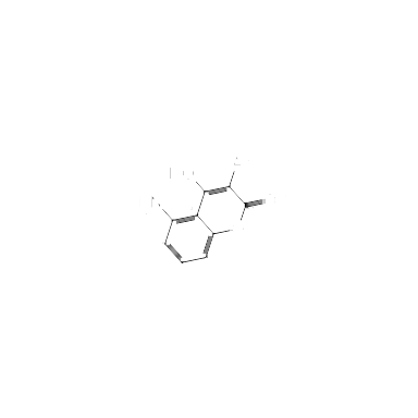 CC(=O)c1c(O)c2c(N)cccc2oc1=O